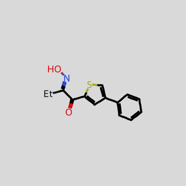 CCC(=NO)C(=O)c1cc(-c2ccccc2)cs1